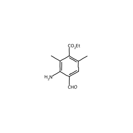 CCOC(=O)c1c(C)cc(C=O)c(N)c1C